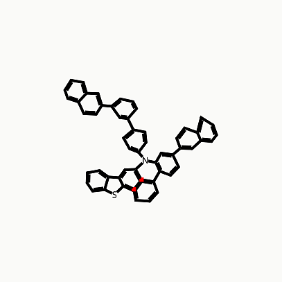 c1ccc(-c2ccc(-c3ccc4ccccc4c3)cc2N(c2ccc(-c3cccc(-c4ccc5ccccc5c4)c3)cc2)c2ccc3sc4ccccc4c3c2)cc1